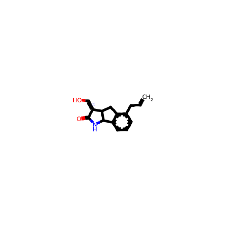 C=CCc1cccc2c1CC1/C(=C/O)C(=O)NC21